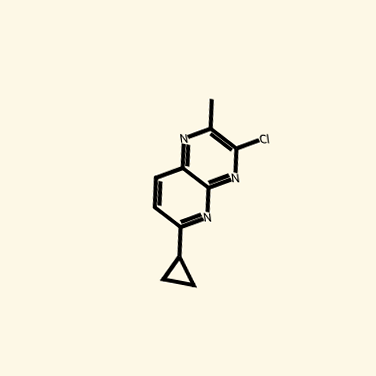 Cc1nc2ccc(C3CC3)nc2nc1Cl